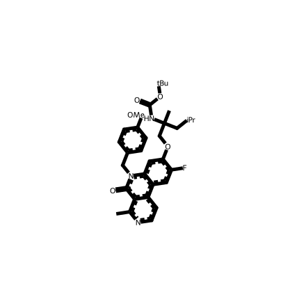 COc1ccc(Cn2c(=O)c3c(C)nccc3c3cc(F)c(OCC(C)(CC(C)C)NC(=O)OC(C)(C)C)cc32)cc1